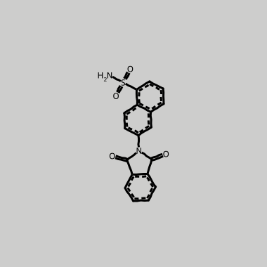 NS(=O)(=O)c1cccc2cc(N3C(=O)c4ccccc4C3=O)ccc12